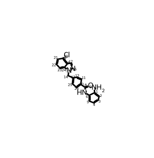 Nc1ccccc1NC(=O)c1ccc(Cn2ncc3c(Cl)cccc32)cc1